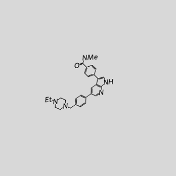 CCN1CCN(Cc2ccc(-c3cnc4[nH]cc(-c5ccc(C(=O)NC)cc5)c4c3)cc2)CC1